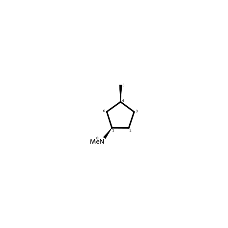 CN[C@@H]1CC[C@H](C)C1